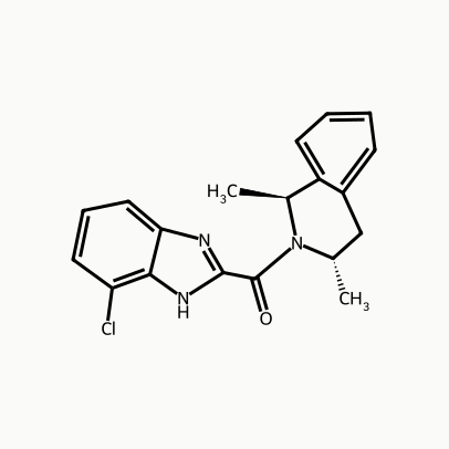 C[C@H]1Cc2ccccc2[C@H](C)N1C(=O)c1nc2cccc(Cl)c2[nH]1